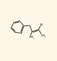 CC(Br)=C([SiH3])Cc1ccccc1